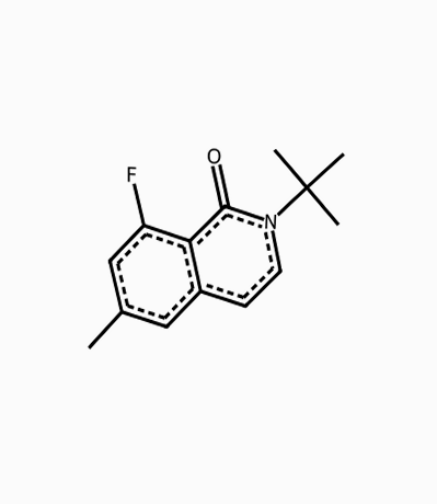 Cc1cc(F)c2c(=O)n(C(C)(C)C)ccc2c1